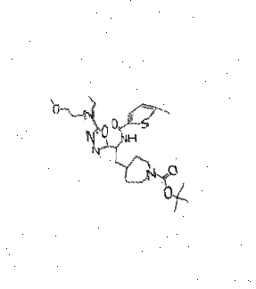 CCN(CCOC)c1nnc(C(CC2CCN(C(=O)OC(C)(C)C)CC2)NC(=O)c2ccc(C)s2)o1